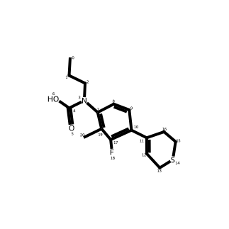 CCCN(C(=O)O)c1ccc(C2=CCSCC2)c(F)c1C